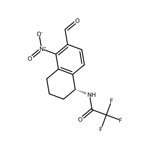 O=Cc1ccc2c(c1[N+](=O)[O-])CCC[C@H]2NC(=O)C(F)(F)F